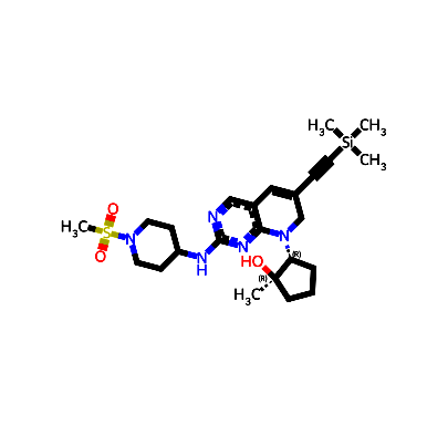 C[C@@]1(O)CCC[C@H]1N1CC(C#C[Si](C)(C)C)=Cc2cnc(NC3CCN(S(C)(=O)=O)CC3)nc21